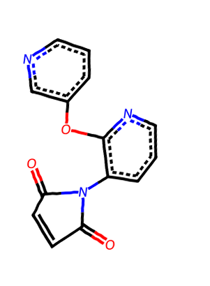 O=C1C=CC(=O)N1c1cccnc1Oc1cccnc1